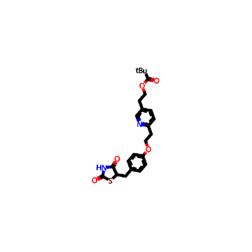 CC(C)(C)C(=O)OCCc1ccc(CCOc2ccc(CC3SC(=O)NC3=O)cc2)nc1